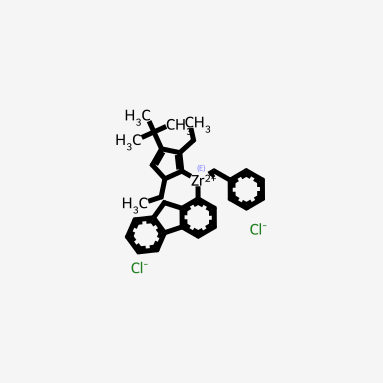 CCC1=[C](/[Zr+2](=[CH]/c2ccccc2)[c]2cccc3c2Cc2ccccc2-3)C(CC)C=C1C(C)(C)C.[Cl-].[Cl-]